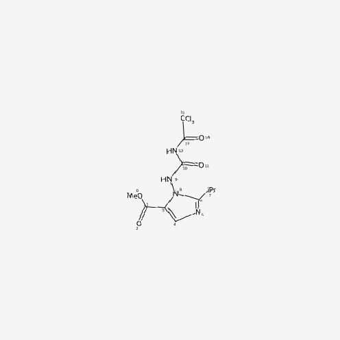 COC(=O)c1cnc(C(C)C)n1NC(=O)NC(=O)C(Cl)(Cl)Cl